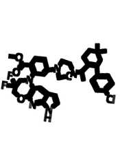 COC(=O)c1ccc(N2CCN(C(C)C3=C(c4ccc(Cl)cc4)CC(C)(C)CC3)CC2)cc1N1CC(F)(F)COc2nc3[nH]ccc3cc21